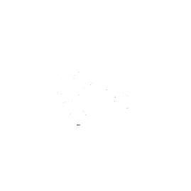 Cc1c(Cl)cccc1S(=O)(=O)Nc1cscc1CCOC(=O)c1ccccc1